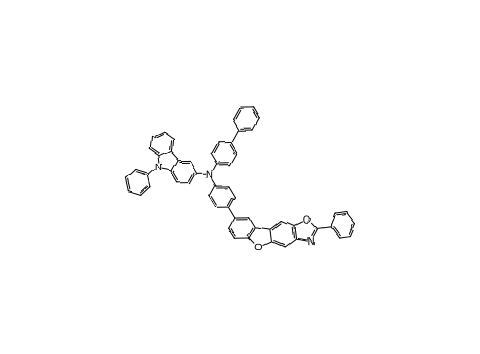 c1ccc(-c2ccc(N(c3ccc(-c4ccc5oc6cc7nc(-c8ccccc8)oc7cc6c5c4)cc3)c3ccc4c(c3)c3ccccc3n4-c3ccccc3)cc2)cc1